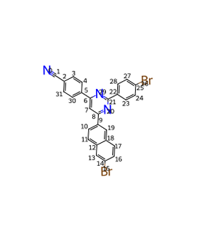 N#Cc1ccc(-c2cc(-c3ccc4cc(Br)ccc4c3)nc(-c3ccc(Br)cc3)n2)cc1